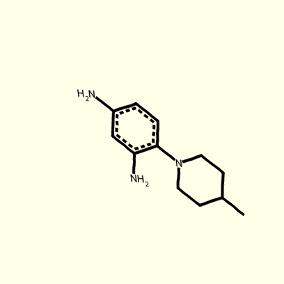 CC1CCN(c2ccc(N)cc2N)CC1